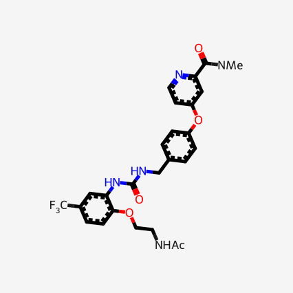 CNC(=O)c1cc(Oc2ccc(CNC(=O)Nc3cc(C(F)(F)F)ccc3OCCNC(C)=O)cc2)ccn1